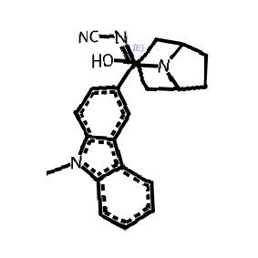 Cn1c2ccccc2c2cc(/C(=N\C#N)N3C4CCC3CC(O)C4)ccc21